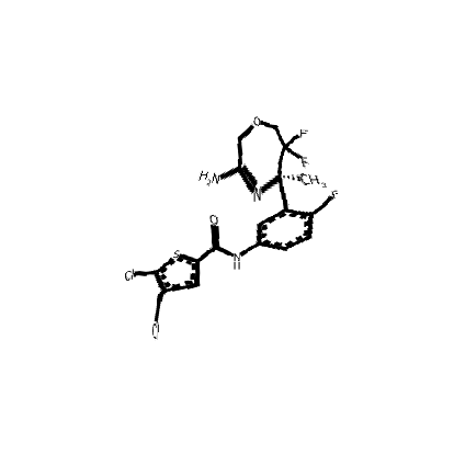 C[C@]1(c2cc(NC(=O)c3cc(Cl)c(Cl)s3)ccc2F)N=C(N)COCC1(F)F